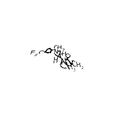 C=CC(=O)N(C)[C@H]1[C@@H]2CN(C(C)c3ccc(C(F)(F)F)cc3)C[C@@H]21